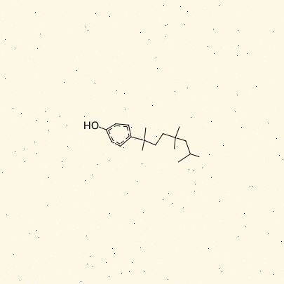 CC(C)CC(C)(C)CCC(C)(C)c1ccc(O)cc1